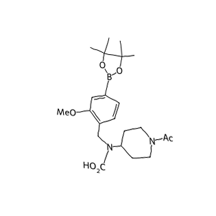 COc1cc(B2OC(C)(C)C(C)(C)O2)ccc1CN(C(=O)O)C1CCN(C(C)=O)CC1